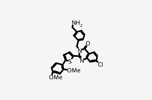 COc1ccc(-c2ccc(-c3nc4cc(Cl)ccc4c(=O)n3Cc3cccc(CN)c3)s2)c(OC)c1